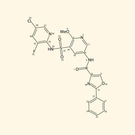 COc1ncc(NC(=O)c2coc(-c3ccccc3)n2)cc1S(=O)(=O)Nc1ncc(Cl)cc1F